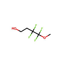 COC(F)(F)C(F)(F)CCO